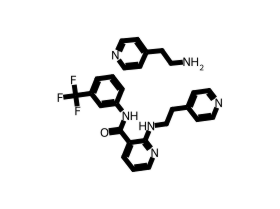 NCCc1ccncc1.O=C(Nc1cccc(C(F)(F)F)c1)c1cccnc1NCCc1ccncc1